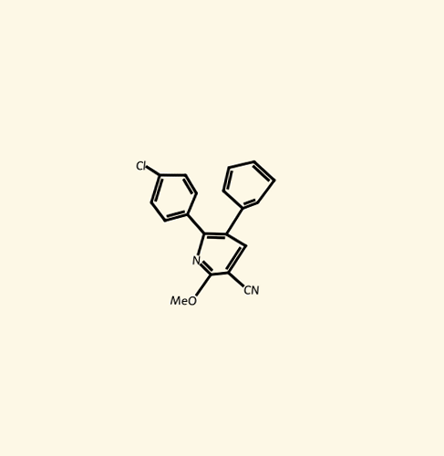 COc1nc(-c2ccc(Cl)cc2)c(-c2ccccc2)cc1C#N